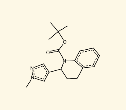 Cn1cc(C2CCc3ccccc3N2C(=O)OC(C)(C)C)cn1